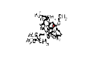 CCOC(=O)[C@@H]1CCCC(=O)N1C[C@@H](C)S(=O)(=O)N(CC[Si](C)(C)C)c1nnc(-c2ccc(C)o2)n1-c1c(OC)cccc1OC